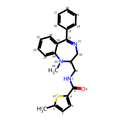 Cc1ccc(C(=O)NCC2CN=C(c3ccccc3)c3ccccc3N2C)s1